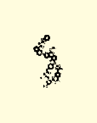 Cc1ncsc1-c1ccc([C@H](C)NC(=O)[C@@H]2C[C@@H](O)CN2C[C@@H](NC(=O)CC2CCC(Oc3cccc(-c4ccc(N5CCc6cccc(C(=O)Nc7nc8ccccc8s7)c6C5)nc4C(=O)OC(C)(C)C)c3C)CC2)C(C)(C)C)cc1